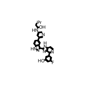 CC(C)CC(O)Nc1cncc(-c2ccc3[nH]nc(-c4nc5c(-c6cc(O)cc(F)c6)nccc5[nH]4)c3c2)c1